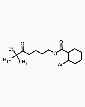 CCC(C)(C)C(=O)CCCCOC(=O)C1CCCCC1C(C)=O